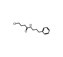 O=C(CCCCl)NCCCc1ccccc1